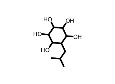 CC(C)CC1C(O)C(O)C(O)C(O)C1O